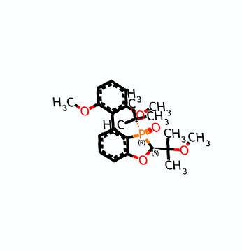 COc1cccc(OC)c1-c1cccc2c1[P@](=O)(C(C)(C)C)[C@@H](C(C)(C)OC)O2